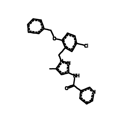 Cc1cc(NC(=O)c2cccnc2)nn1Cc1cc(Cl)ccc1OCc1ccccc1